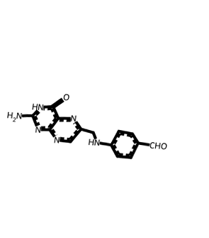 Nc1nc2ncc(CNc3ccc(C=O)cc3)nc2c(=O)[nH]1